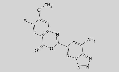 COc1cc2nc(-c3cc(N)c4nnnn4n3)oc(=O)c2cc1F